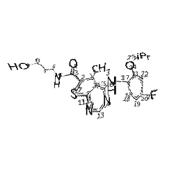 Cc1c(C(=O)NCCCO)sc2ncnc(Nc3ccc(F)cc3OC(C)C)c12